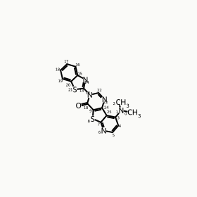 CN(C)c1ccnc2sc3c(=O)n(-c4nc5ccccc5s4)cnc3c12